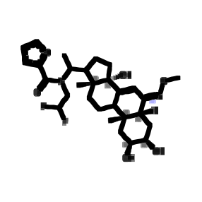 CO/N=C1\C=C2C(CC[C@]3(C)C(C(C)N(CC(F)F)C(=O)c4ccco4)CC[C@@]23O)[C@@]2(C)C[C@H](O)[C@H](O)C[C@@H]12